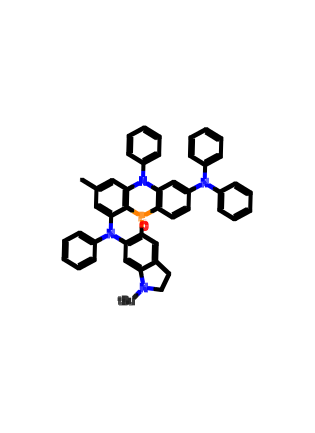 Cc1cc2c3c(c1)N(c1ccccc1)c1cc4c(cc1P3(=O)c1ccc(N(c3ccccc3)c3ccccc3)cc1N2c1ccccc1)CCN4C(C)(C)C